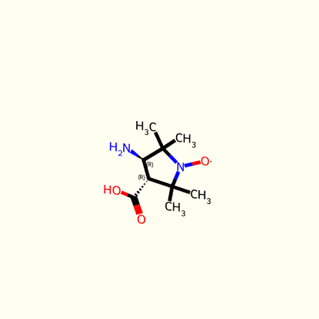 CC1(C)[C@H](N)[C@@H](C(=O)O)C(C)(C)N1[O]